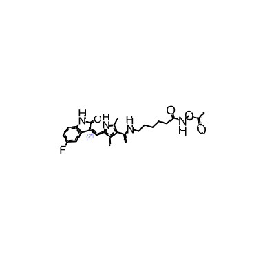 C=C(NCCCCCC(=O)NOC(C)=O)c1c(C)[nH]c(/C=C2\C(=O)Nc3ccc(F)cc32)c1C